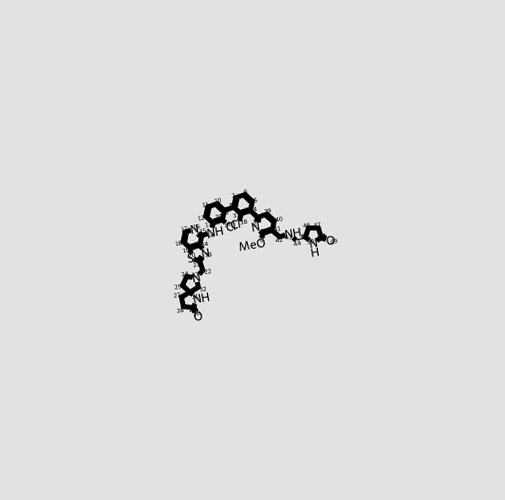 COc1nc(-c2cccc(-c3cccc(Nc4nccc5sc(CN6CCC7(CCC(=O)N7)C6)nc45)c3Cl)c2Cl)ccc1CNC[C@@H]1CCC(=O)N1